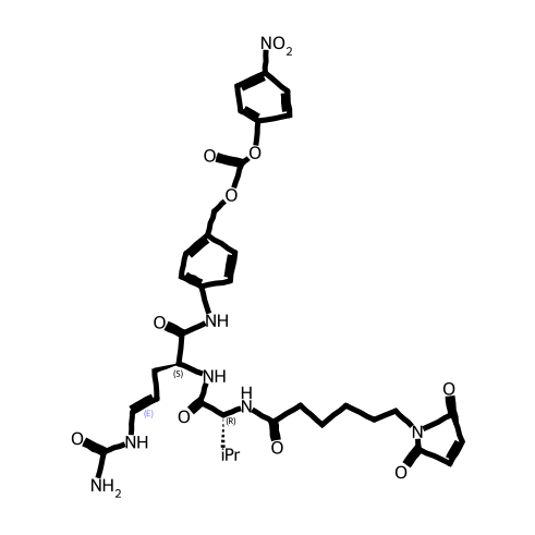 CC(C)[C@@H](NC(=O)CCCCCN1C(=O)C=CC1=O)C(=O)N[C@@H](C/C=C/NC(N)=O)C(=O)Nc1ccc(COC(=O)Oc2ccc([N+](=O)[O-])cc2)cc1